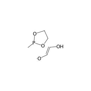 CP1OCCO1.[O]C=CO